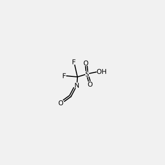 O=C=NC(F)(F)S(=O)(=O)O